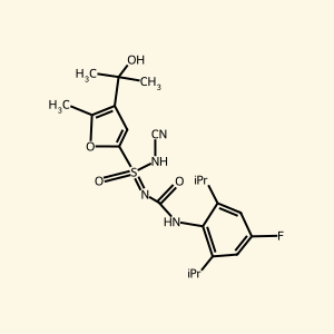 Cc1oc(S(=O)(=NC(=O)Nc2c(C(C)C)cc(F)cc2C(C)C)NC#N)cc1C(C)(C)O